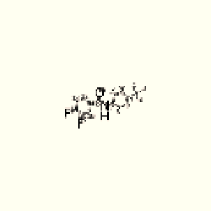 CC(C)(C)c1ccc(NC(=O)c2ccc(F)c(F)c2)cc1